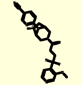 COc1cnccc1C(F)(F)CCC(=O)N1CC2C[C@H](C)C(C1)N2c1ccc(C#N)cn1